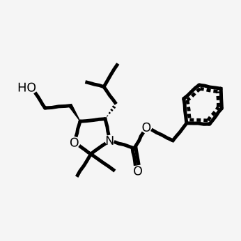 CC(C)C[C@H]1[C@H](CCO)OC(C)(C)N1C(=O)OCc1ccccc1